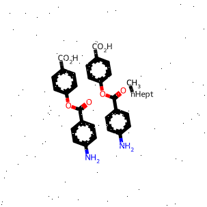 CCCCCCCC.Nc1ccc(C(=O)Oc2ccc(C(=O)O)cc2)cc1.Nc1ccc(C(=O)Oc2ccc(C(=O)O)cc2)cc1